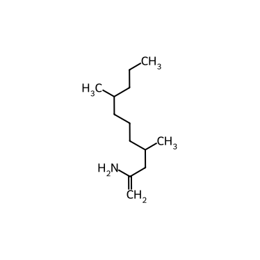 C=C(N)CC(C)CCCC(C)CCC